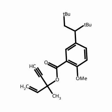 C#CC(C)(C=C)OC(=O)c1cc(C(CC(C)(C)C)C(C)(C)C)ccc1OC